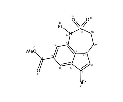 CCCc1cn2c3c(cc(C(=O)OC)cc13)N(CC)S(=O)(=O)CC2